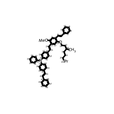 COc1cc(/C=C/c2ccccc2)c(OCCC(C)CCCC(C)C)cc1/C=C/c1ccc(N(c2ccccc2)c2ccc(/C=C/c3ccccc3)cc2)cc1